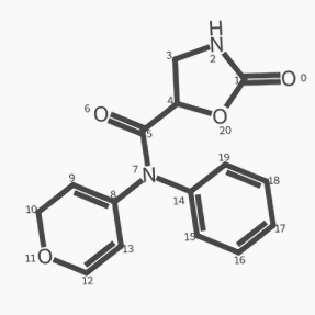 O=C1NCC(C(=O)N(C2=CCOC=C2)c2ccccc2)O1